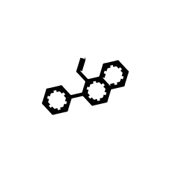 [CH]=Cc1c(-c2ccccc2)ccc2ccccc12